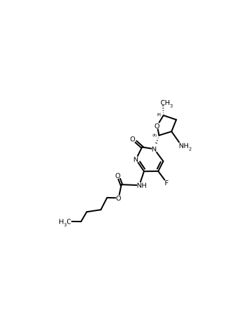 CCCCCOC(=O)Nc1nc(=O)n([C@@H]2O[C@H](C)CC2N)cc1F